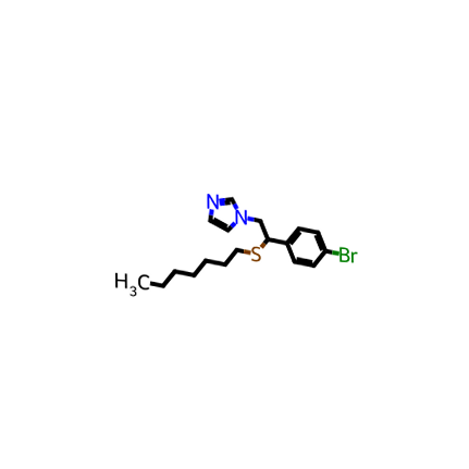 CCCCCCCSC(Cn1ccnc1)c1ccc(Br)cc1